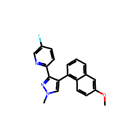 COc1ccc2c(-c3cn(C)nc3-c3ccc(F)cn3)cccc2c1